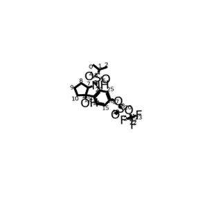 CC(C)S(=O)(=O)NC1CCCC1(O)c1ccc(OS(=O)OC(F)(F)F)cc1